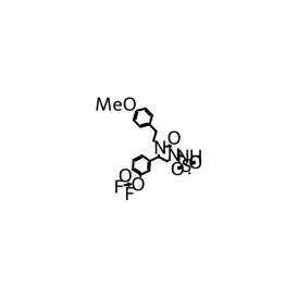 COc1ccc(CCN2C(=O)N(NS(C)(=O)=O)CC2c2ccc3c(c2)OC(F)(F)O3)cc1